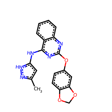 Cc1cc(Nc2nc(Oc3ccc4c(c3)OCO4)nc3ccccc23)[nH]n1